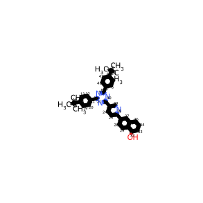 CC(C)(C)c1ccc(-c2nc(-c3ccc(C(C)(C)C)cc3)nc(-c3ccc(-c4ccc5c(O)cccc5c4)nc3)n2)cc1